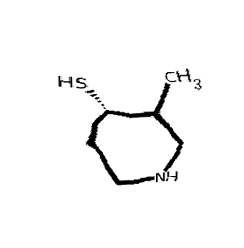 CC1CNCC[C@@H]1S